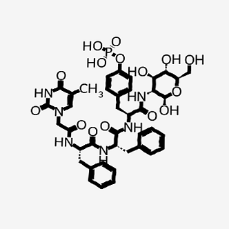 Cc1cn(CC(=O)N[C@@H](Cc2ccccc2)C(=O)N[C@@H](Cc2ccccc2)C(=O)N[C@@H](Cc2ccc(OP(=O)(O)O)cc2)C(=O)N[C@@H]2[C@@H](O)[C@H](O)[C@@H](CO)O[C@H]2O)c(=O)[nH]c1=O